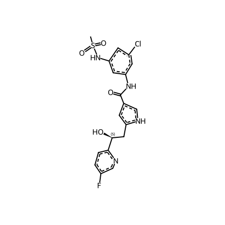 CS(=O)(=O)Nc1cc(Cl)cc(NC(=O)c2c[nH]c(C[C@H](O)c3ccc(F)cn3)c2)c1